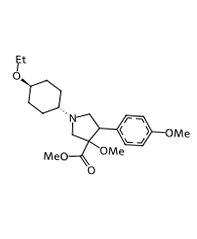 CCO[C@H]1CC[C@H](N2CC(c3ccc(OC)cc3)C(OC)(C(=O)OC)C2)CC1